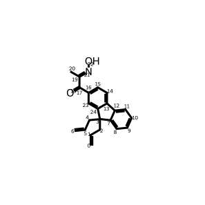 C=CCC1(CC=C)c2ccccc2-c2ccc(C(=O)C(C)=NO)cc21